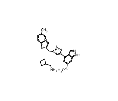 COc1cc(-c2cn(Cc3cn4cc(C)ccc4n3)nn2)c2cn[nH]c2c1.NCC1CCC1